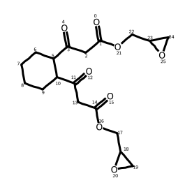 O=C(CC(=O)C1CCCCC1C(=O)CC(=O)OCC1CO1)OCC1CO1